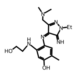 CCN1N=C(CN(C)C)C(=Nc2cc(C)c(O)cc2NCCO)C1=N